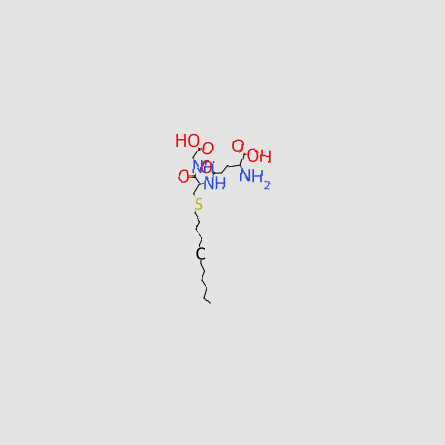 CCCCCCCCCCCCSCC(NC(=O)CCC(N)C(=O)O)C(=O)NCC(=O)O